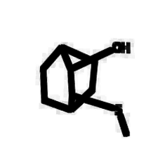 CSC1C2CCC(CC2)C1O